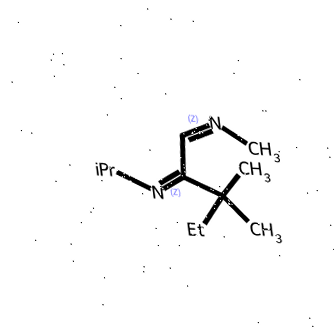 CCC(C)(C)C(/C=N\C)=N/C(C)C